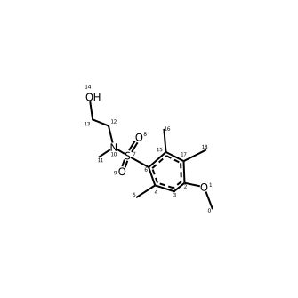 COc1cc(C)c(S(=O)(=O)N(C)CCO)c(C)c1C